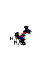 CC1(C)c2ccccc2-c2ccc(N(C3=CC4C5CC=CC=C5OC4(C)C=C3)c3ccc(-c4ccc5c(c4)c4ccccc4n5-c4ccccc4)cc3)cc21